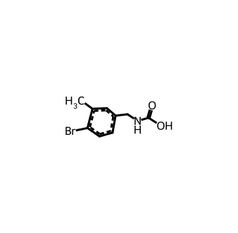 Cc1cc(CNC(=O)O)ccc1Br